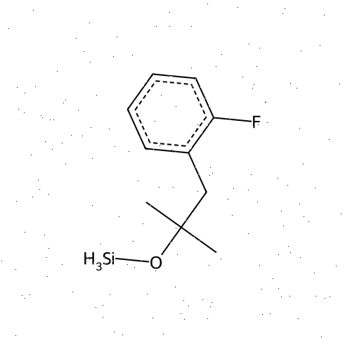 CC(C)(Cc1ccccc1F)O[SiH3]